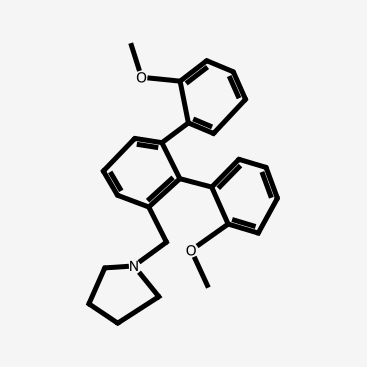 COc1ccccc1-c1cccc(CN2CCCC2)c1-c1ccccc1OC